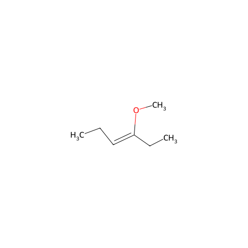 CCC=C(CC)OC